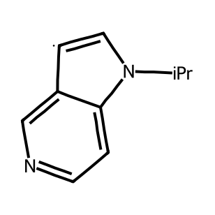 CC(C)n1c[c]c2cnccc21